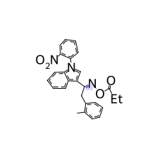 CCC(=O)O/N=C(\Cc1ccccc1C)c1cn(-c2ccccc2[N+](=O)[O-])c2ccccc12